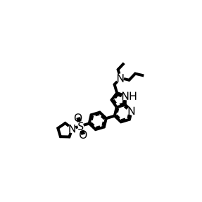 CCCN(CC)Cc1cc2c(-c3ccc(S(=O)(=O)N4CCCC4)cc3)ccnc2[nH]1